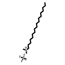 CCCCCCCCCCCCCCCCCC[NH+](C)C.F[B-](F)(F)F